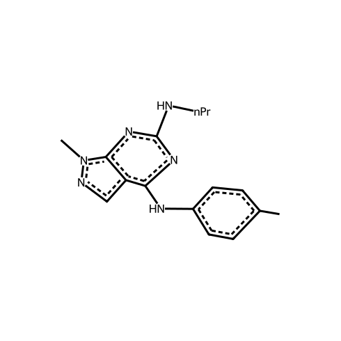 CCCNc1nc(Nc2ccc(C)cc2)c2cnn(C)c2n1